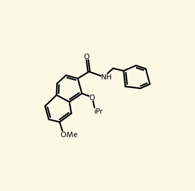 COc1ccc2ccc(C(=O)NCc3ccccc3)c(OC(C)C)c2c1